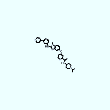 CC(C)N1CCC(NC(=O)c2cc(Oc3ccc4c(c3)nc(Nc3cccc(-c5ccncc5)c3)n4C)ccn2)CC1